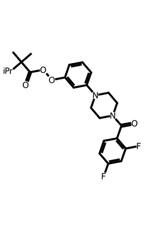 CC(C)C(C)(C)C(=O)OOc1cccc(N2CCN(C(=O)c3ccc(F)cc3F)CC2)c1